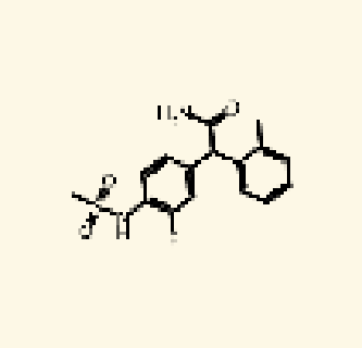 Cc1ccccc1C(C(N)=O)c1ccc(NS(C)(=O)=O)c(F)c1